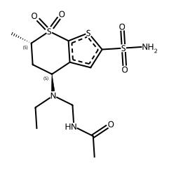 CCN(CNC(C)=O)[C@H]1C[C@H](C)S(=O)(=O)c2sc(S(N)(=O)=O)cc21